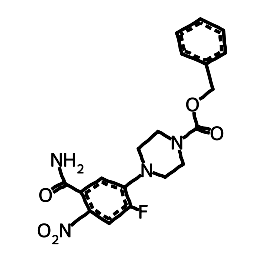 NC(=O)c1cc(N2CCN(C(=O)OCc3ccccc3)CC2)c(F)cc1[N+](=O)[O-]